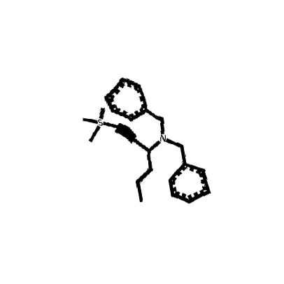 CCCC(C#CS(C)(C)C)N(Cc1ccccc1)Cc1ccccc1